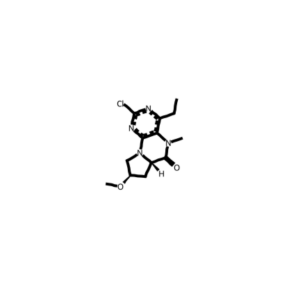 CCc1nc(Cl)nc2c1N(C)C(=O)[C@@H]1C[C@@H](OC)CN21